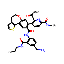 CCCNC(=O)c1ccc(-c2cc3c(cc2C(=O)Nc2ccc(CN)cc2C(=O)NCCC(C)C)-c2sccc2CCO3)c(C(=O)OC)n1